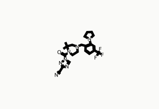 CC1(C)CN(Cc2ccc(C(F)(F)F)cc2N2CCCC2)CCN1C(=O)n1cnc(C#N)n1